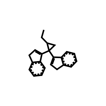 CCC1CC1(C1=CCc2ccccc21)C1=CCc2ccccc21